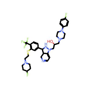 O[C@@H](CN1CCN(c2ccc(F)cc2)CC1)CN1NC(c2ccc(C(F)(F)F)c(SCCN3CCC(F)CC3)c2)C2CN=CC=C21